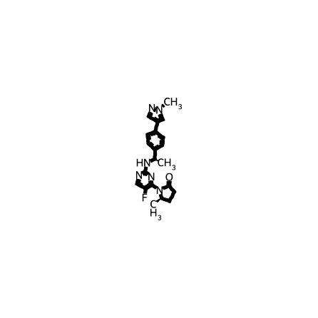 C[C@H](Nc1ncc(F)c(N2C(=O)CC[C@H]2C)n1)c1ccc(-c2cnn(C)c2)cc1